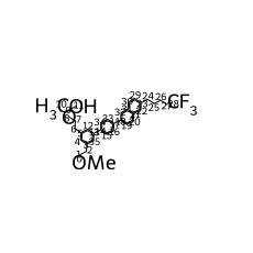 COCCc1cc(CCOC(C)O)cc(-c2ccc(-c3ccc4cc(CCCCC(F)(F)F)ccc4c3)cc2)c1